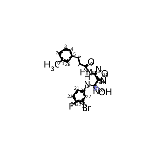 Cc1cccc(CCC(=O)Nc2nonc2/C(=N\O)Nc2ccc(F)c(Br)c2)c1